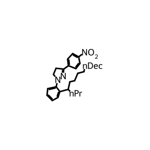 CCCCCCCCCCCCCCC(CCC)c1ccccc1N1CCC(c2ccc([N+](=O)[O-])cc2)=N1